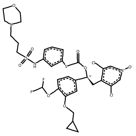 O=C(O[C@@H](Cc1c(Cl)c[n+]([O-])cc1Cl)c1ccc(OC(F)F)c(OCC2CC2)c1)Sc1cccc(NS(=O)(=O)CCCN2CCOCC2)c1